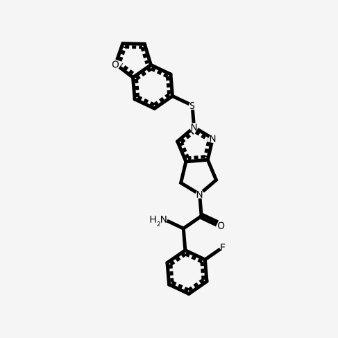 NC(C(=O)N1Cc2cn(Sc3ccc4occc4c3)nc2C1)c1ccccc1F